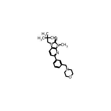 Cn1c(=O)n(CC(C)(C)C)c2ccc(-c3cccc(CN4CCOCC4)c3)nc21